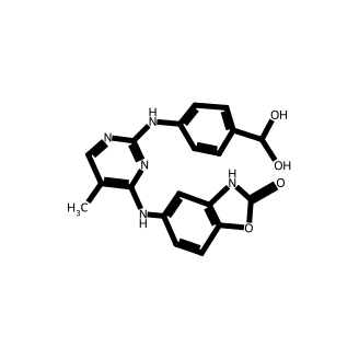 Cc1cnc(Nc2ccc(C(O)O)cc2)nc1Nc1ccc2oc(=O)[nH]c2c1